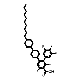 CCCCCCCCCCC1CCC(C2CCC(c3cc(F)c(C(=O)O)c(F)c3-c3cc(F)c(F)c(F)c3)CC2)CC1